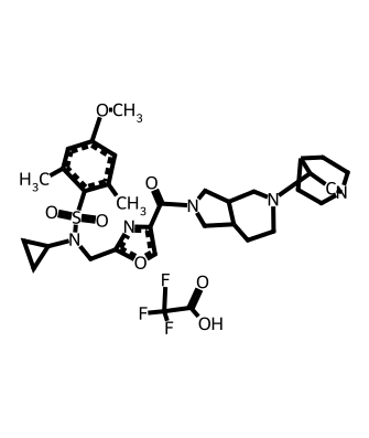 COc1cc(C)c(S(=O)(=O)N(Cc2nc(C(=O)N3CC4CCN(C5CN6CCC5CC6)CC4C3)co2)C2CC2)c(C)c1.O=C(O)C(F)(F)F